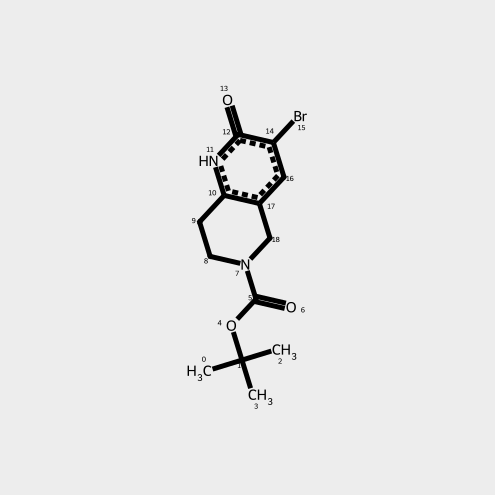 CC(C)(C)OC(=O)N1CCc2[nH]c(=O)c(Br)cc2C1